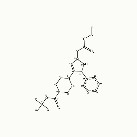 CCOC(=O)CN1C=C(N2CCN(C(=O)OC(C)(C)C)CC2)C(c2ccccc2)N1